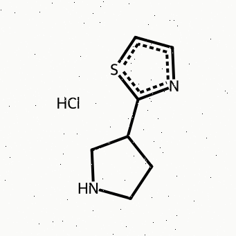 Cl.c1csc(C2CCNC2)n1